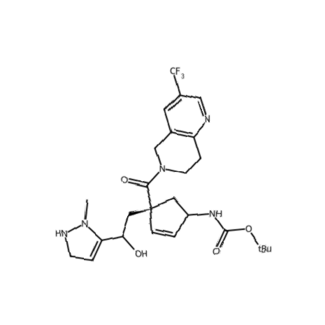 CN1NCC=C1C(O)C[C@]1(C(=O)N2CCc3ncc(C(F)(F)F)cc3C2)C=CC(NC(=O)OC(C)(C)C)C1